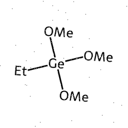 [CH2][CH2][Ge]([O]C)([O]C)[O]C